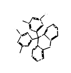 Brc1cc(Br)cc(C2(c3cc(Br)cc(Br)c3)c3ccccc3Cc3ccccc32)c1